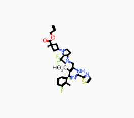 C=CCOC(=O)C1(C)CC(N2CCC3C2C(F)(F)CN3CC2=C(C(=O)O)[C@H](c3cccc(F)c3C)N=C(c3nccs3)N2)C1